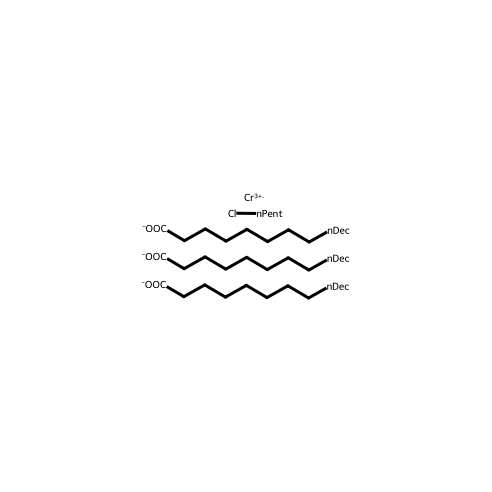 CCCCCCCCCCCCCCCCCC(=O)[O-].CCCCCCCCCCCCCCCCCC(=O)[O-].CCCCCCCCCCCCCCCCCC(=O)[O-].CCCCCCl.[Cr+3]